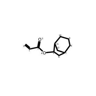 C=CC(=O)OC1CC2CCCC1C2